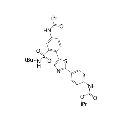 CC(C)OC(=O)Nc1ccc(-c2ncc(-c3ccc(NC(=O)C(C)C)cc3S(=O)(=O)NC(C)(C)C)s2)cc1